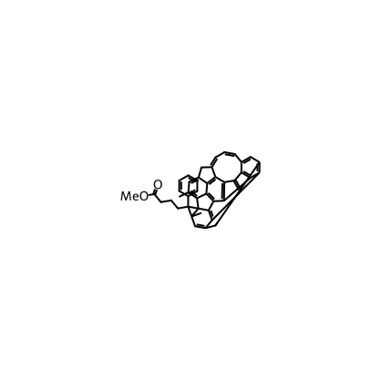 C=C1c2c3cc4c5c6c7c8c9c(c(C)cc%10c9c(c1c8c25)/C(=C\C=C/3)C%10)C71C(C)(C=C6C4)C1(CCCC(=O)OC)c1ccccc1